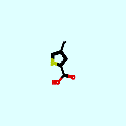 [CH2]c1csc(C(=O)O)c1